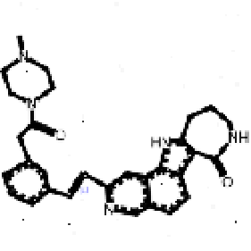 CN1CCN(C(=O)Cc2cccc(/C=C/c3cc4c(ccc5c6c([nH]c54)CCCNC6=O)cn3)c2)CC1